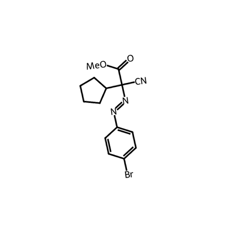 COC(=O)C(C#N)(/N=N/c1ccc(Br)cc1)C1CCCC1